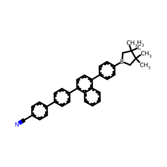 CC1(C)CB(c2ccc(-c3ccc(-c4ccc(-c5ccc(C#N)cc5)cc4)c4ccccc34)cc2)CC1(C)C